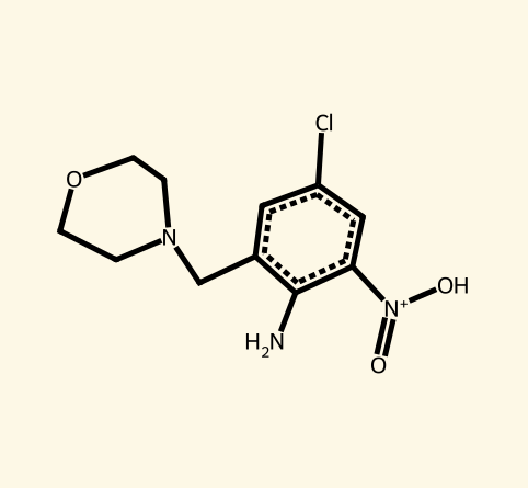 Nc1c(CN2CCOCC2)cc(Cl)cc1[N+](=O)O